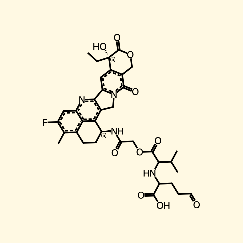 CC[C@@]1(O)C(=O)OCc2c1cc1n(c2=O)Cc2c-1nc1cc(F)c(C)c3c1c2[C@@H](NC(=O)COC(=O)C(NC(CCC=O)C(=O)O)C(C)C)CC3